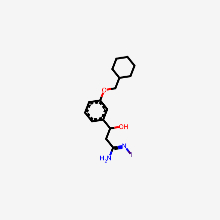 NC(CC(O)c1cccc(OCC2CCCCC2)c1)=NI